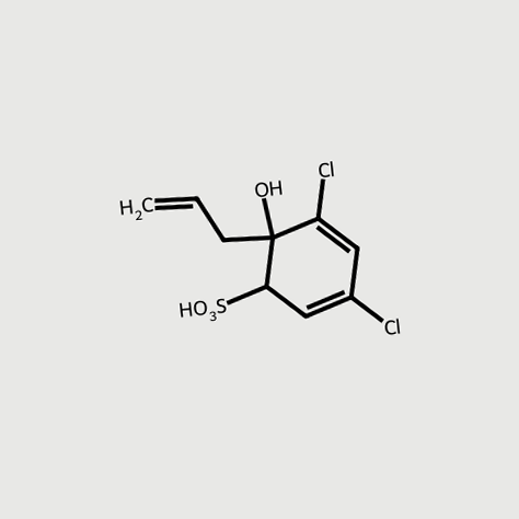 C=CCC1(O)C(Cl)=CC(Cl)=CC1S(=O)(=O)O